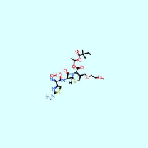 CCC(C)(C)C(=O)OC(C)OC(=O)C1=C(COCCOC)CS[C@H]2C(NC(=O)/C(=N\O)c3csc(N)n3)C(=O)N12